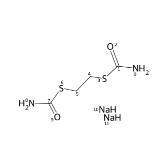 NC(=O)SCCSC(N)=O.[NaH].[NaH]